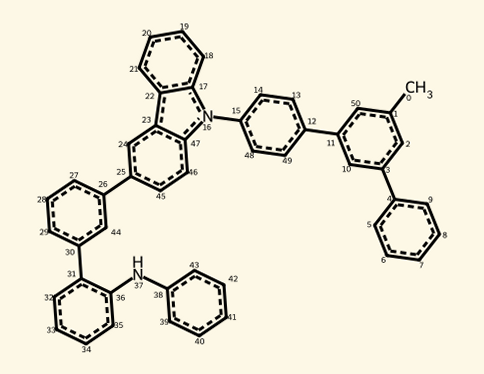 Cc1cc(-c2ccccc2)cc(-c2ccc(-n3c4ccccc4c4cc(-c5cccc(-c6ccccc6Nc6ccccc6)c5)ccc43)cc2)c1